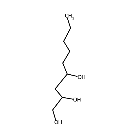 CCCCCC(O)CC(O)CO